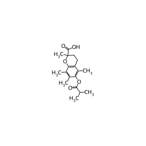 Cc1c(C)c2c(c(C)c1OC(=O)C(C)C)CCC(C)(C(=O)O)O2